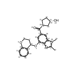 Cc1nc2c(OC3CCOc4ccccc43)cc(C(=O)N3CC[C@H](O)C3)cc2n1C